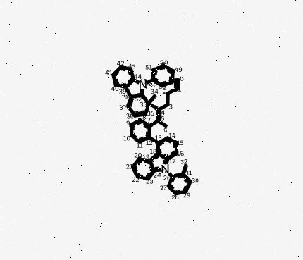 C=CCC/C(=C(\C)c1ccccc1-c1cccc2c1c1ccccc1n2-c1ccccc1C)C1(C)C=CC=C2c3ccccc3N(c3ccccc3)C21